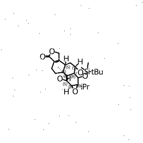 CC(C)[C@]12O[C@H]1[C@@H]1O[C@@]13[C@@]1(C)CCC4=C(COC4=O)[C@@H]1C[C@@H]1O[C@@]13C2O[Si](C)(C)C(C)(C)C